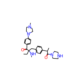 CCC(Cc1ccc(C(C)C(=O)N2CCNCC2)cc1)(NC)C(=O)c1ccc(N2CCN(C)CC2)cc1